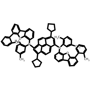 Cc1ccc(C)c(N(c2cc(C3CCCC3)c3ccc4c(N(c5cc(C)ccc5C)c5cccc6c5oc5c(-c7ccccc7C)cccc56)cc(C5CCCC5)c5ccc2c3c54)c2cccc3c2oc2c(-c4ccccc4C)cccc23)c1